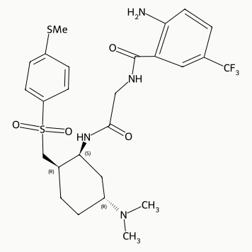 CSc1ccc(S(=O)(=O)C[C@@H]2CC[C@@H](N(C)C)C[C@@H]2NC(=O)CNC(=O)c2cc(C(F)(F)F)ccc2N)cc1